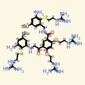 CC(C)(C)c1cc(N)c(SCCNC(=N)N)c(CNC(=O)c2cc(C(=O)CNc3cc(C(C)(C)C)cc(N)c3SCCNC(=N)N)c(OCCNC(=N)N)cc2OCCNC(=N)N)c1